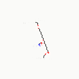 CCCCCC(CCCCC)CCOC(=O)CCCCCCCC(CCCCCCCC(=O)OCCC(CCCCC)CCCCC)OC(=O)CN(C(C)C)C(C)C